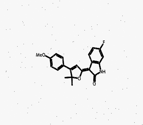 COc1ccc(C2=CC(=C3C(=O)Nc4cc(F)ccc43)OC2(C)C)cc1